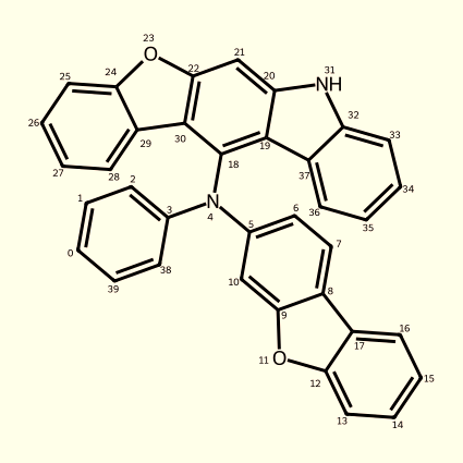 c1ccc(N(c2ccc3c(c2)oc2ccccc23)c2c3c(cc4oc5ccccc5c24)[nH]c2ccccc23)cc1